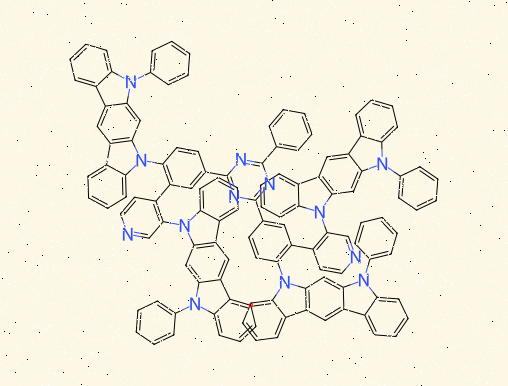 c1ccc(-c2nc(-c3ccc(-n4c5ccccc5c5cc6c7ccccc7n(-c7ccccc7)c6cc54)c(-c4ccncc4-n4c5ccccc5c5cc6c7ccccc7n(-c7ccccc7)c6cc54)c3)nc(-c3ccc(-n4c5ccccc5c5cc6c7ccccc7n(-c7ccccc7)c6cc54)c(-c4ccncc4-n4c5ccccc5c5cc6c7ccccc7n(-c7ccccc7)c6cc54)c3)n2)cc1